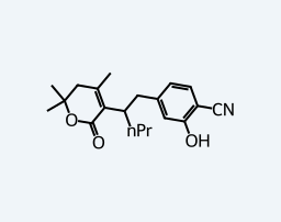 CCCC(Cc1ccc(C#N)c(O)c1)C1=C(C)CC(C)(C)OC1=O